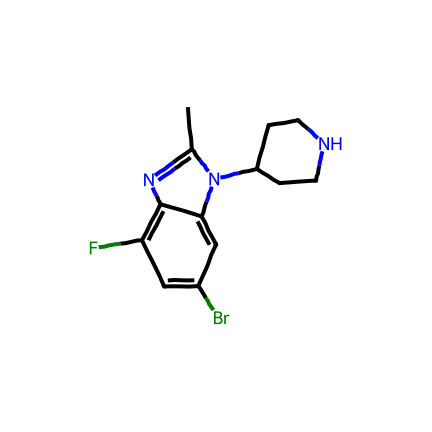 Cc1nc2c(F)cc(Br)cc2n1C1CCNCC1